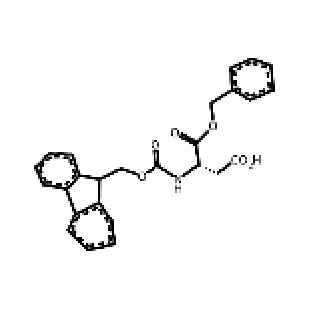 O=C(O)C[C@H](NC(=O)OCC1c2ccccc2-c2ccccc21)C(=O)OCc1ccccc1